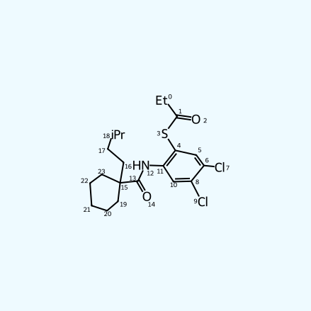 CCC(=O)Sc1cc(Cl)c(Cl)cc1NC(=O)C1(CCC(C)C)CCCCC1